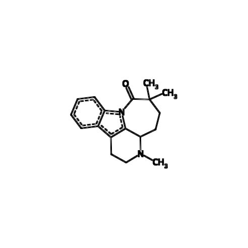 CN1CCc2c3n(c4ccccc24)C(=O)C(C)(C)CCC31